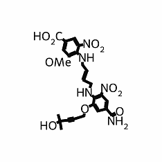 COc1cc(C(=O)O)cc([N+](=O)[O-])c1NCC=CCNc1c(OCC#CC(C)(C)O)cc(C(N)=O)cc1[N+](=O)[O-]